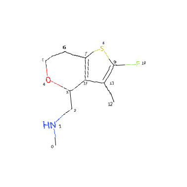 CNCC1OCCc2sc(F)c(C)c21